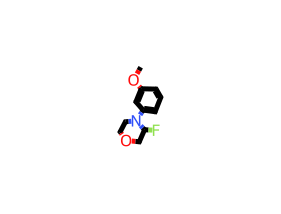 COc1cccc(N2CCOCC2F)c1